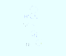 Cc1csc(-n2c(C)cc(C=C(C#N)c3nc4ccccc4[nH]3)c2C)c1C#N